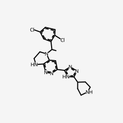 CC(c1cc(Cl)ccc1Cl)N1CCNc2nnc(-c3nnc(C4CCNCC4)[nH]3)cc21